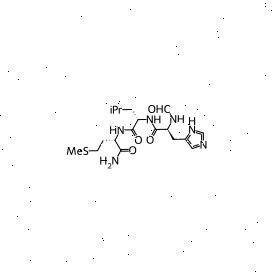 CSCC[C@H](NC(=O)[C@H](CC(C)C)NC(=O)[C@H](Cc1cnc[nH]1)NC=O)C(N)=O